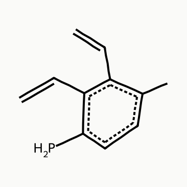 C=Cc1c(C)ccc(P)c1C=C